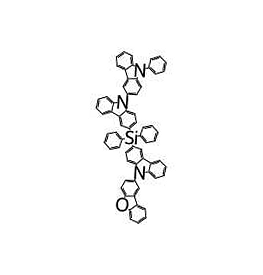 c1ccc(-n2c3ccccc3c3cc(-n4c5ccccc5c5cc([Si](c6ccccc6)(c6ccccc6)c6ccc7c(c6)c6ccccc6n7-c6ccc7oc8ccccc8c7c6)ccc54)ccc32)cc1